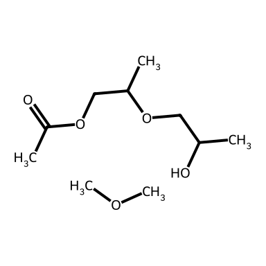 CC(=O)OCC(C)OCC(C)O.COC